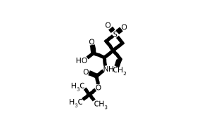 C=CC1(C(NC(=O)OC(C)(C)C)C(=O)O)CS(=O)(=O)C1